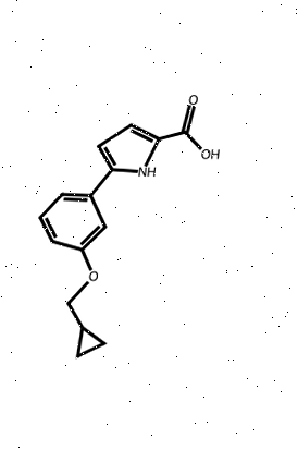 O=C(O)c1ccc(-c2cccc(OCC3CC3)c2)[nH]1